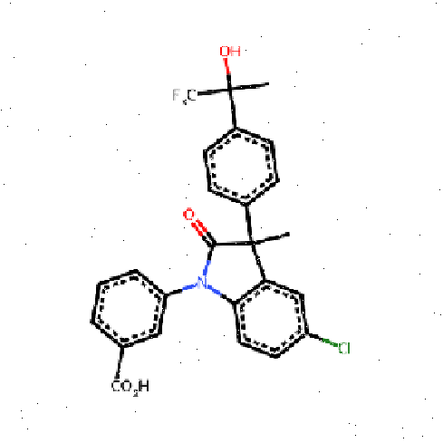 CC1(c2ccc(C(C)(O)C(F)(F)F)cc2)C(=O)N(c2cccc(C(=O)O)c2)c2ccc(Cl)cc21